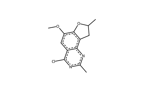 COc1cc2c(Cl)nc(C)nc2c2c1OC(C)C2